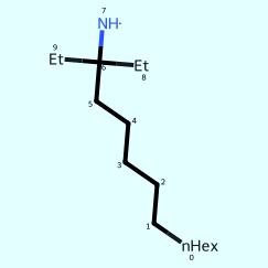 CCCCCCCCCCCC([NH])(CC)CC